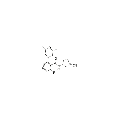 C[C@@H]1CN(c2cncc(F)c2C(=O)N[C@@H]2CCN(C#N)C2)C[C@H](C)O1